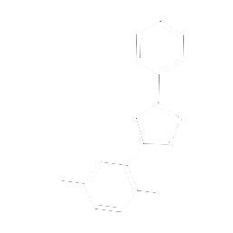 Oc1ccc(Br)cc1C1CC(c2ccccc2)=NN1